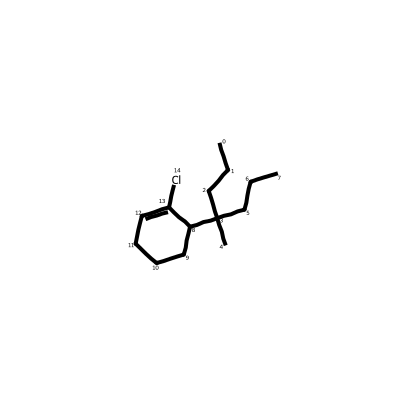 CCCC(C)(CCC)C1CCCC=C1Cl